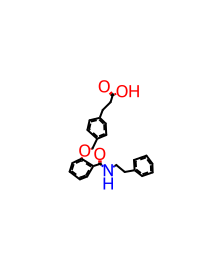 O=C(O)CCc1ccc(COc2ccccc2C(=O)NCCc2ccccc2)cc1